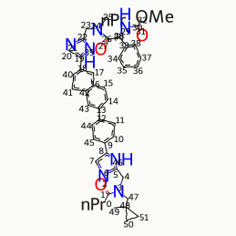 CCCC(=O)N(Cc1ncc(-c2ccc(-c3ccc4cc(-c5cnc(CN(CCC)C(=O)[C@H](NC(=O)OC)c6ccccc6)[nH]5)ccc4c3)cc2)[nH]1)CC1(C)CC1